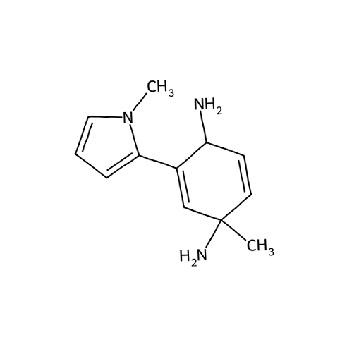 Cn1cccc1C1=CC(C)(N)C=CC1N